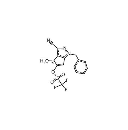 C[C@H]1C(OS(=O)(=O)C(F)(F)F)=Cc2c1c(C#N)nn2Cc1ccccc1